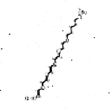 CCCCOCCCCCOCCOCCOCCOCCOCCC=O